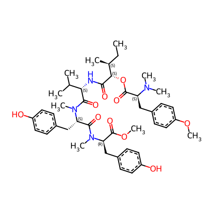 CC[C@H](C)[C@H](OC(=O)[C@H](Cc1ccc(OC)cc1)N(C)C)C(=O)N[C@H](C(=O)N(C)[C@@H](Cc1ccc(O)cc1)C(=O)N(C)[C@H](Cc1ccc(O)cc1)C(=O)OC)C(C)C